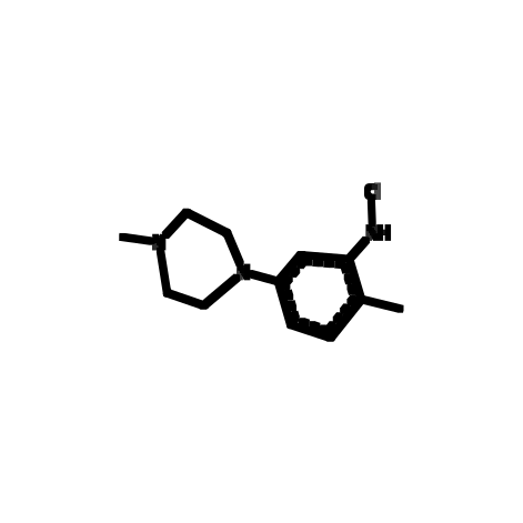 Cc1ccc(N2CCN(C)CC2)cc1NCl